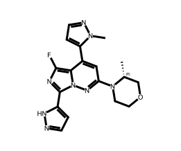 C[C@@H]1COCCN1c1cc(-c2ccnn2C)c2c(F)nc(-c3ccn[nH]3)n2n1